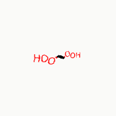 OO/C=C/OO